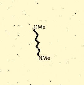 CNCCCCCCCOC